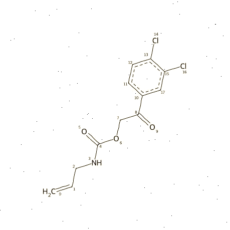 C=CCNC(=O)OCC(=O)c1ccc(Cl)c(Cl)c1